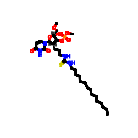 CCCCCCCCCCCCCCCNC(=S)NCCC[C@H]1C(OP(=O)(O)OC)[C@@H](COC)O[C@H]1n1ccc(=O)[nH]c1=O